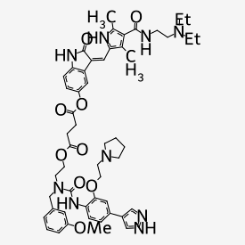 CCN(CC)CCNC(=O)c1c(C)[nH]c(/C=C2\C(=O)Nc3ccc(OC(=O)CCC(=O)OCCN(Cc4cccc(OC)c4)C(=O)Nc4ccc(-c5cn[nH]c5)cc4OCCN4CCCC4)cc32)c1C